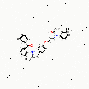 CCCC(=O)N(CCCOc1ccc(C[C@H](Nc2ccccc2C(=O)c2ccccc2)C(=O)O)cc1)c1cccc(C)c1